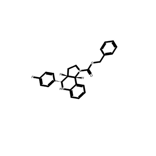 O=C(OCc1ccccc1)N1CC[C@H]2[C@@H](c3ccc(F)cc3)Nc3ccccc3[C@H]21